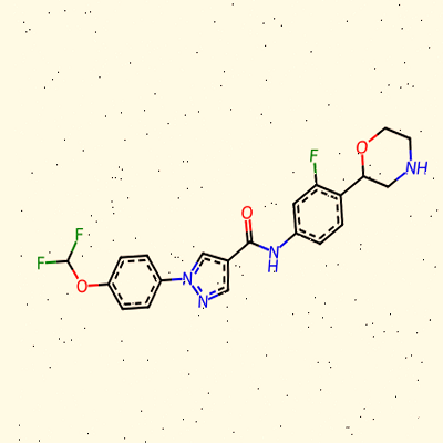 O=C(Nc1ccc(C2CNCCO2)c(F)c1)c1cnn(-c2ccc(OC(F)F)cc2)c1